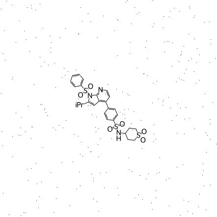 CC(C)c1cc2c(-c3ccc(S(=O)(=O)NC4CCS(=O)(=O)CC4)cc3)ccnc2n1S(=O)(=O)c1ccccc1